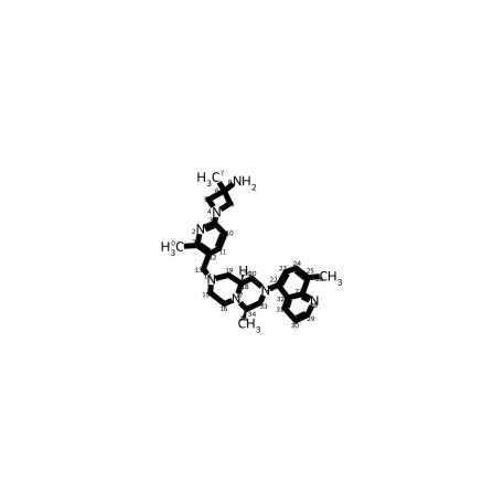 Cc1nc(N2CC(C)(N)C2)ccc1CN1CCN2[C@@H](C1)CN(c1ccc(C)c3ncccc13)C[C@H]2C